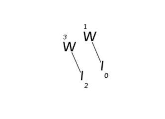 [I][W].[I][W]